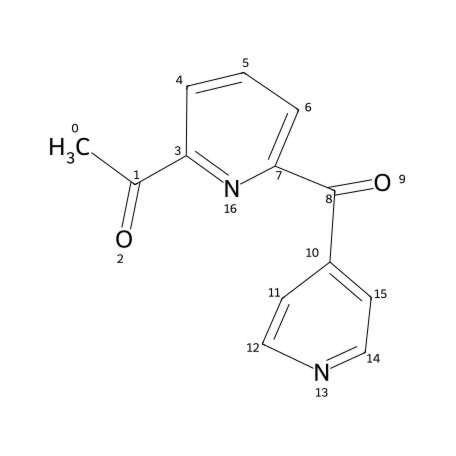 CC(=O)c1cccc(C(=O)c2ccncc2)n1